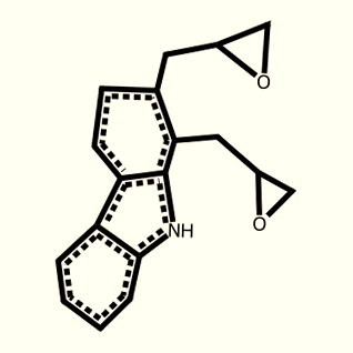 c1ccc2c(c1)[nH]c1c(CC3CO3)c(CC3CO3)ccc12